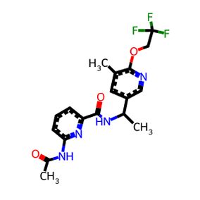 CC(=O)Nc1cccc(C(=O)NC(C)c2cnc(OCC(F)(F)F)c(C)c2)n1